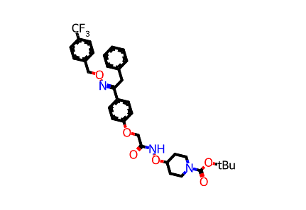 CC(C)(C)OC(=O)N1CCC(ONC(=O)COc2ccc(C(Cc3ccccc3)=NOCc3ccc(C(F)(F)F)cc3)cc2)CC1